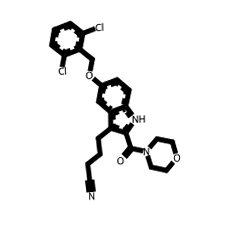 N#CCCCc1c(C(=O)N2CCOCC2)[nH]c2ccc(OCc3c(Cl)cccc3Cl)cc12